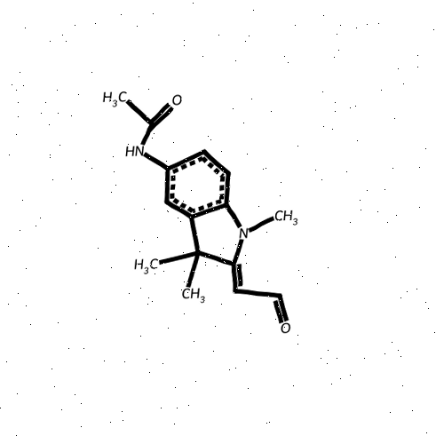 CC(=O)Nc1ccc2c(c1)C(C)(C)C(=CC=O)N2C